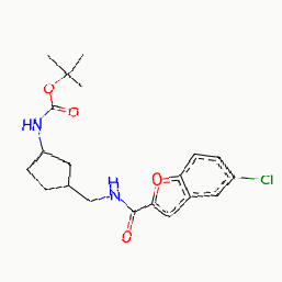 CC(C)(C)OC(=O)NC1CCC(CNC(=O)c2cc3cc(Cl)ccc3o2)C1